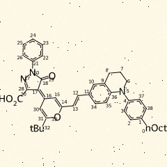 CCCCCCCCc1ccc(N2CCCc3cc(/C=C/C4=CC(=C5\C(=O)N(c6ccccc6)N=C5C(=O)O)/C=C(C(C)(C)C)O4)ccc32)cc1